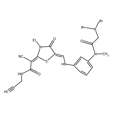 C#CCNC(=O)C(C#N)=c1sc(=CNc2cccc(N(C)C(=O)CN(C(C)C)C(C)C)c2)c(=O)n1CC